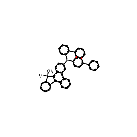 CC1(C)c2ccccc2-c2c1c1ccc(N(c3ccc(-c4ccccc4)cc3)c3ccccc3-c3ccccc3)cc1c1ccccc21